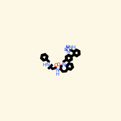 CC(C)(CC(=O)N[C@@H]1CCc2ccccc2N(Cc2ccc(-c3ccccc3-c3nnn[nH]3)cc2)C1=O)NCc1ccccc1